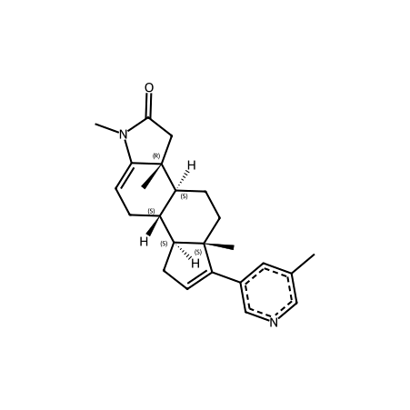 Cc1cncc(C2=CC[C@H]3[C@@H]4CC=C5N(C)C(=O)C[C@]5(C)[C@H]4CC[C@]23C)c1